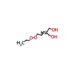 [CH2]CCOOCCC[SiH](CO)CO